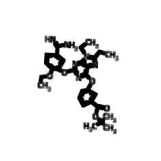 CCOc1ccc(C(=N)N)cc1Oc1nc(Oc2cccc(C(=O)OC(C)(C)C)c2)c2nc(CC)n(CC)c2n1